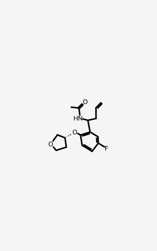 C=CCC(NC(C)=O)c1cc(F)ccc1O[C@@H]1CCOC1